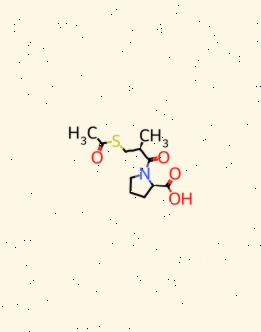 CC(=O)SC[C@@H](C)C(=O)N1CCC[C@@H]1C(=O)O